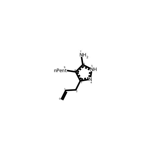 C=CCc1n[nH]c(N)c1CCCCC